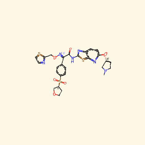 CN1CC[C@@H](Oc2ccc3nc(NC(=O)/C(=N/OCc4nccs4)c4ccc(S(=O)(=O)[C@H]5CCOC5)cc4)sc3n2)C1